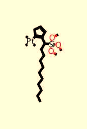 CCCCCCCCCCC(C1=[C]([Pt]([CH3])([CH3])[CH3])CC=C1)[Si](OC)(OC)OC